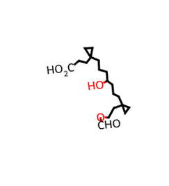 O=COCCC1(CCCC(O)CCCC2(CCC(=O)O)CC2)CC1